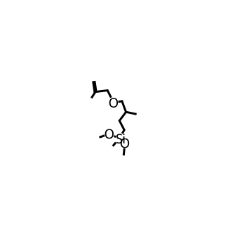 C=C(C)COCC(C)CC[Si](C)(OC)OC